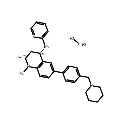 CC(=O)N1c2ccc(-c3ccc(CN4CCCCC4)cc3)cc2[C@@H](Nc2ccccn2)C[C@H]1C.O=CO